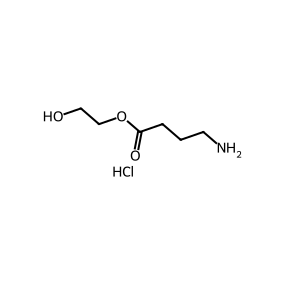 Cl.NCCCC(=O)OCCO